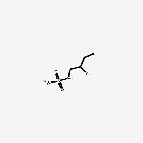 CS(=O)(=O)NCC(O)CI